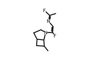 C/C(F)=N\C=C(\F)N1CCC2CC(C)C21